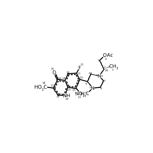 CC(=O)OC[C@H](C)N1CCN(C)C(c2c(F)cc3c(=O)c(C(=O)O)c[nH]c3c2[N+](=O)[O-])C1